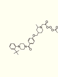 CC(=O)OOOC(=O)CN1CCC(COc2ccc(C(=O)N3CCN(c4ccccc4C(C)(C)C)CC3)cc2)CC1C